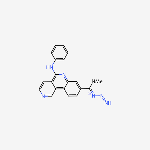 CN/C(=N\N=N)c1ccc2c(c1)nc(Nc1ccccc1)c1ccncc12